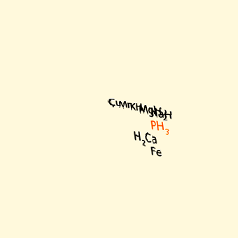 P.[CaH2].[Cu].[Fe].[KH].[MgH2].[Mn].[NaH]